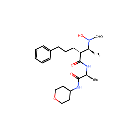 C[C@@H]([C@@H](CCCc1ccccc1)C(=O)N[C@H](C(=O)NC1CCOCC1)C(C)(C)C)N(O)C=O